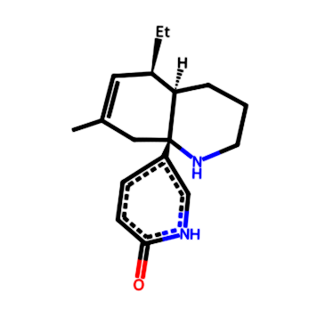 CC[C@@H]1C=C(C)C[C@@]2(c3ccc(=O)[nH]c3)NCCC[C@H]12